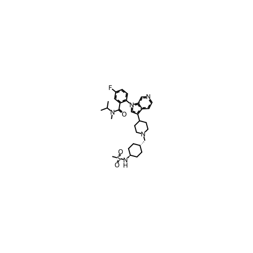 CC(C)N(C)C(=O)c1cc(F)ccc1-n1cc(C2CCN(C[C@H]3CC[C@H](NS(C)(=O)=O)CC3)CC2)c2ccncc21